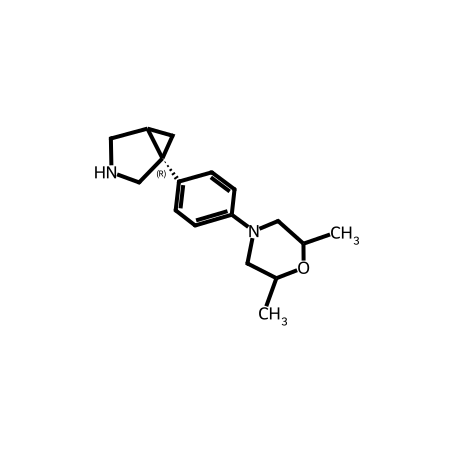 CC1CN(c2ccc([C@]34CNCC3C4)cc2)CC(C)O1